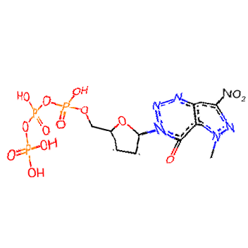 Cn1nc([N+](=O)[O-])c2nnn(C3[CH][CH]C(COP(=O)(O)OP(=O)(O)OP(=O)(O)O)O3)c(=O)c21